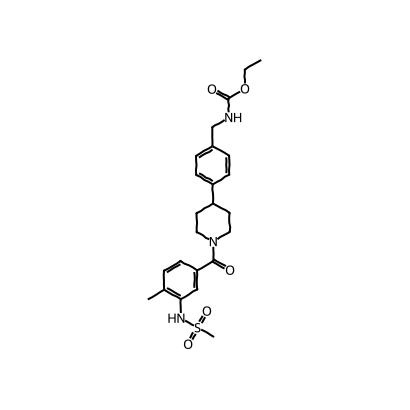 CCOC(=O)NCc1ccc(C2CCN(C(=O)c3ccc(C)c(NS(C)(=O)=O)c3)CC2)cc1